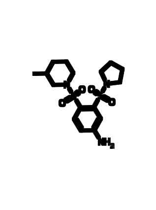 CC1CCCN(S(=O)(=O)c2ccc(N)cc2S(=O)(=O)N2CCCC2)C1